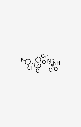 COC(=O)[C@H]1CN(C(=O)C(C)Oc2ccc3c(-c4ccc(F)cc4Cl)cc(=O)oc3c2)CCN1